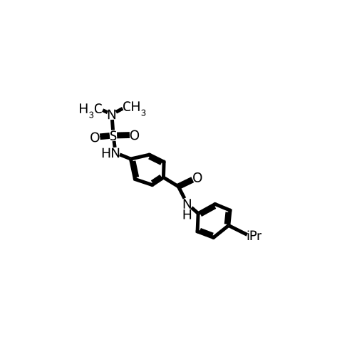 CC(C)c1ccc(NC(=O)c2ccc(NS(=O)(=O)N(C)C)cc2)cc1